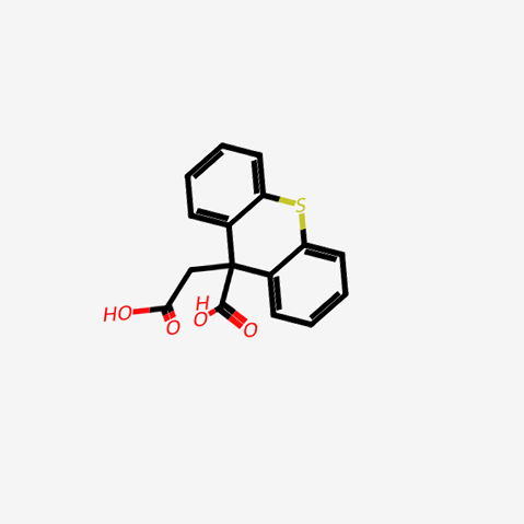 O=C(O)CC1(C(=O)O)c2ccccc2Sc2ccccc21